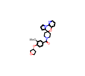 COc1cc(C(=O)N2CCC3(CC2)Oc2cccnc2-n2cccc23)ccc1O[C@@H]1CCOC1